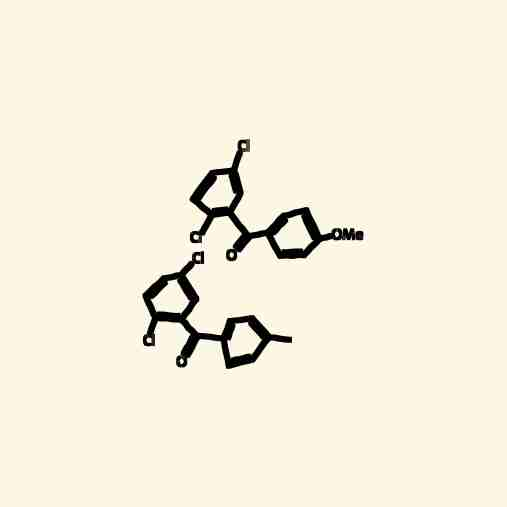 COc1ccc(C(=O)c2cc(Cl)ccc2Cl)cc1.Cc1ccc(C(=O)c2cc(Cl)ccc2Cl)cc1